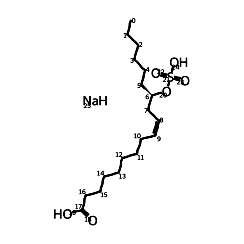 CCCCCC[C@H](C/C=C\CCCCCCCC(=O)O)OS(=O)(=O)O.[NaH]